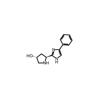 O[C@H]1CN[C@H](c2nc(-c3ccccc3)c[nH]2)C1